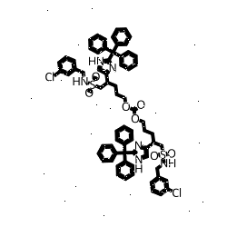 O=C(OCCCC(CS(=O)(=O)NCc1cccc(Cl)c1)c1c[nH]c(C(c2ccccc2)(c2ccccc2)c2ccccc2)n1)OCCCC(CS(=O)(=O)NCc1cccc(Cl)c1)c1c[nH]c(C(c2ccccc2)(c2ccccc2)c2ccccc2)n1